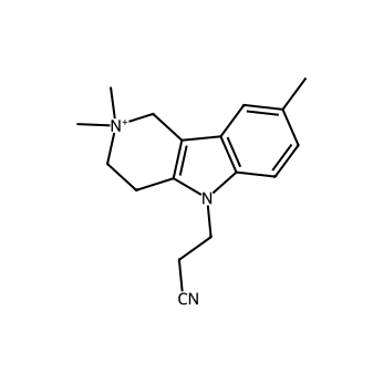 Cc1ccc2c(c1)c1c(n2CCC#N)CC[N+](C)(C)C1